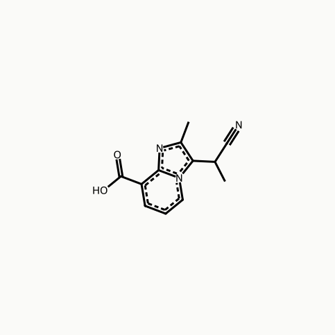 Cc1nc2c(C(=O)O)cccn2c1C(C)C#N